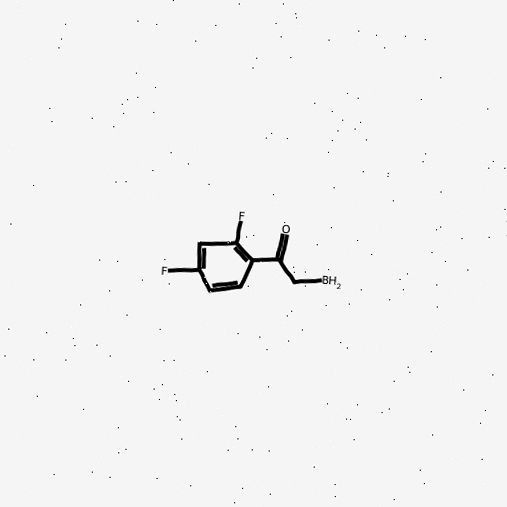 BCC(=O)c1ccc(F)cc1F